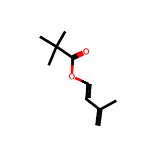 C=C(C)C=COC(=O)C(C)(C)C